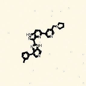 Cc1cccc(-c2cncc3[nH]c(-c4n[nH]c5ccc(-c6cncc(CN7CCCC7)c6)nc45)nc23)c1